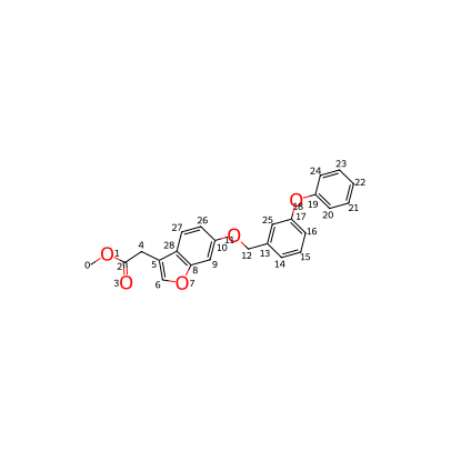 COC(=O)Cc1coc2cc(OCc3cccc(Oc4ccccc4)c3)ccc12